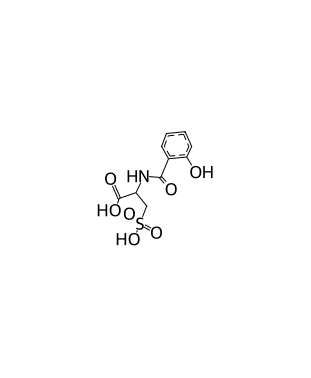 O=C(NC(CS(=O)(=O)O)C(=O)O)c1ccccc1O